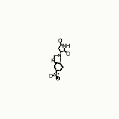 O=C1CC(N2C=Nc3cc([N+](=O)[O-])ccc3C2)C(=O)N1